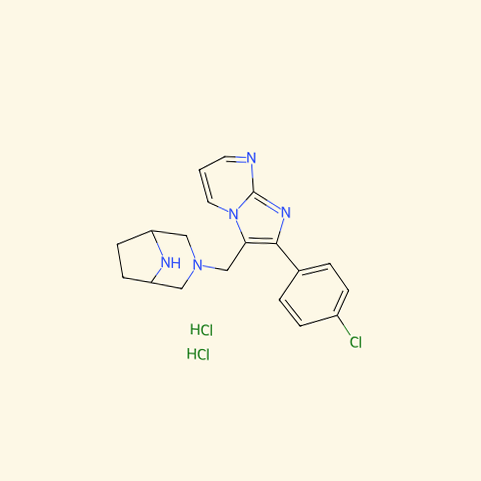 Cl.Cl.Clc1ccc(-c2nc3ncccn3c2CN2CC3CCC(C2)N3)cc1